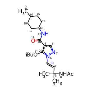 CC(=O)NC(C)(C)/C=C/n1ncc(C(=O)NC2CCC(C)CC2)c1OCC(C)C